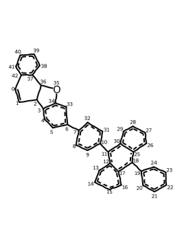 C1=CC2c3ccc(-c4ccc(-c5c6ccccc6c(-c6ccccc6)c6ccccc56)cc4)cc3OC2c2ccccc21